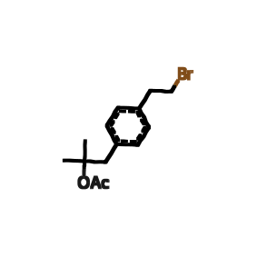 CC(=O)OC(C)(C)Cc1ccc(CCBr)cc1